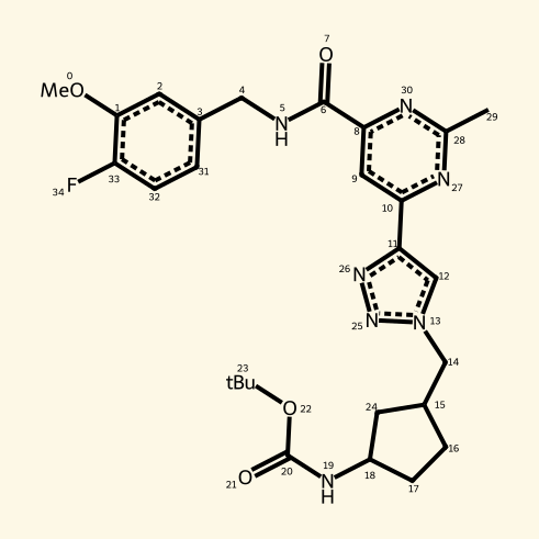 COc1cc(CNC(=O)c2cc(-c3cn(CC4CCC(NC(=O)OC(C)(C)C)C4)nn3)nc(C)n2)ccc1F